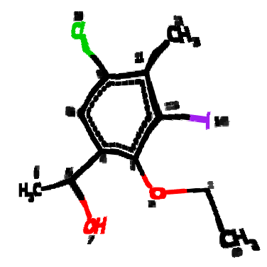 CCOc1c(C(C)O)cc(Cl)c(C)c1I